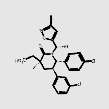 CC[C@@H](c1cc(C)no1)N1C(=O)[C@](C)(CC(=O)O)C[C@H](c2cccc(Cl)c2)[C@H]1c1ccc(Cl)cc1